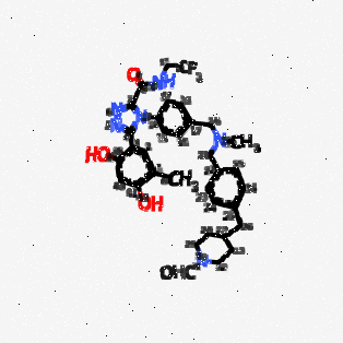 Cc1cc(-c2nnc(C(=O)NCC(F)(F)F)n2-c2ccc(CN(C)Cc3ccc(CC4CCN(C=O)CC4)cc3)cc2)c(O)cc1O